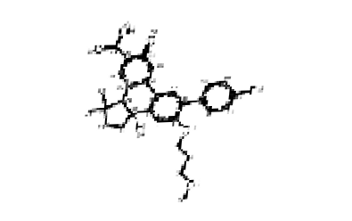 COCCCOc1cc2c(cc1-c1ccc(F)cc1)-c1cc(=O)c(C(=O)O)cn1C1[C@@H]2CCC1(C)C